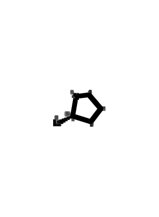 CC[C@H]1CCC[N]1